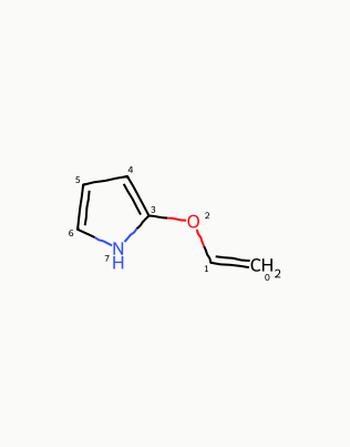 C=COc1ccc[nH]1